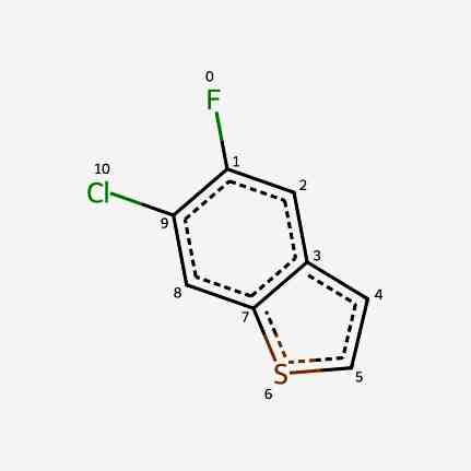 Fc1cc2ccsc2cc1Cl